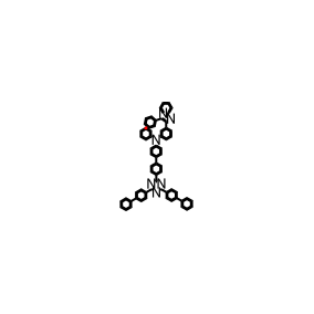 c1ccc(-c2ccc(-c3nc(-c4ccc(-c5ccccc5)cc4)nc(-c4ccc(-c5ccc(N(c6ccccc6)c6cccc(-c7nc8ccccn8c7-c7ccccc7)c6)cc5)cc4)n3)cc2)cc1